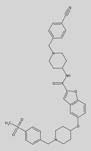 CS(=O)(=O)c1ccc(CN2CCC(Oc3ccc4oc(C(=O)NC5CCN(Cc6ccc(C#N)cc6)CC5)cc4c3)CC2)cc1